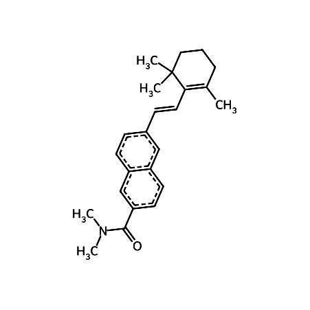 CC1=C(C=Cc2ccc3cc(C(=O)N(C)C)ccc3c2)C(C)(C)CCC1